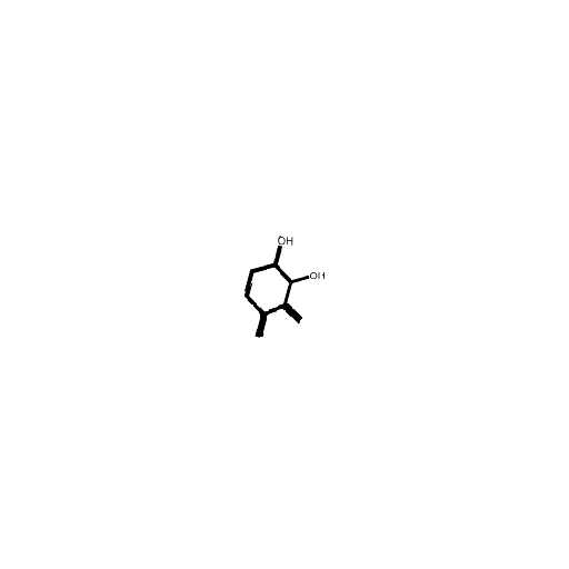 C=C1CCC(O)C(O)C1=C